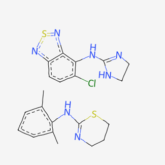 Cc1cccc(C)c1NC1=NCCCS1.Clc1ccc2nsnc2c1NC1=NCCN1